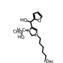 CCCCCCCCCCCCCCCN1C=C(C(O)c2ccco2)N(C)C1.O=CO